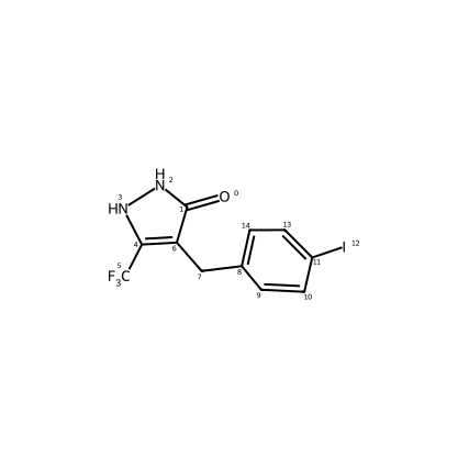 O=c1[nH][nH]c(C(F)(F)F)c1Cc1ccc(I)cc1